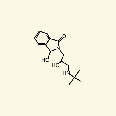 CC(C)(C)NC[C@@H](O)CN1C(=O)c2ccccc2C1O